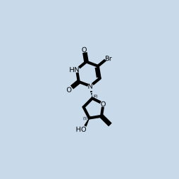 C=C1O[C@@H](n2cc(Br)c(=O)[nH]c2=O)C[C@@H]1O